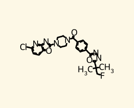 CC(C)(CF)c1nnc(-c2ccc(C(=O)N3CCN(c4nc5nc(Cl)ccc5o4)CC3)cc2)o1